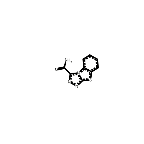 NC(=O)c1nnc2sc3ccccc3n12